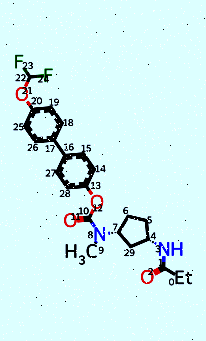 CCC(=O)N[C@H]1CC[C@@H](N(C)C(=O)Oc2ccc(-c3ccc(OC(F)F)cc3)cc2)C1